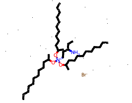 CCCCCCCCCCC(C)O[N+](CCC(N)CC)(OC(C)CCCCCCCCCC)OC(C)CCCCCCCCCC.[Br-]